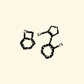 Clc1ccccc1C1=C(Br)CCC1.c1ccc2c(c1)CO2